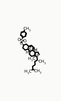 Cc1ccc(S(=O)(=O)OC2CC[C@@]3(C)C(=CC[C@H]4[C@@H]5CC[C@H]([C@H](C)CCCC(C)C)[C@@]5(C)CC[C@@H]43)C2)cc1